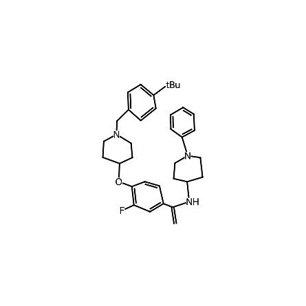 C=C(NC1CCN(c2ccccc2)CC1)c1ccc(OC2CCN(Cc3ccc(C(C)(C)C)cc3)CC2)c(F)c1